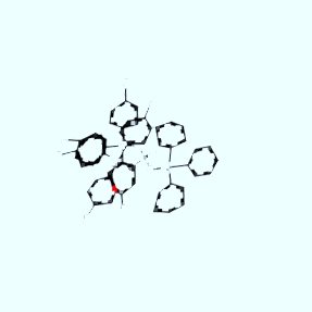 [O]=[V]([O][Si](c1ccccc1)(c1ccccc1)c1ccccc1)([O][Si](c1ccc(F)cc1)(c1ccc(F)cc1)c1ccc(F)cc1)[O][Si](c1ccc(F)cc1)(c1ccc(F)cc1)c1ccc(F)cc1